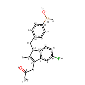 CC1=C(CC(=O)C(C)C)c2cc(F)ccc2C1Cc1ccc([S+](C)[O-])cc1